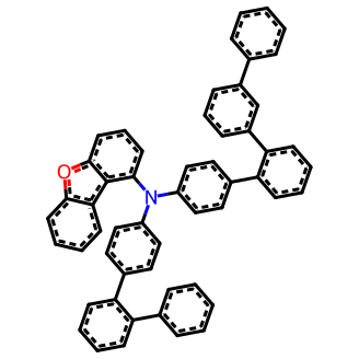 c1ccc(-c2cccc(-c3ccccc3-c3ccc(N(c4ccc(-c5ccccc5-c5ccccc5)cc4)c4cccc5oc6ccccc6c45)cc3)c2)cc1